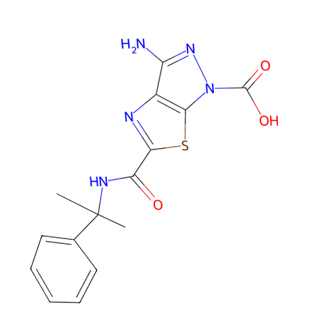 CC(C)(NC(=O)c1nc2c(N)nn(C(=O)O)c2s1)c1ccccc1